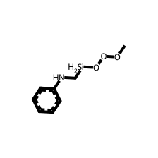 COOO[SiH2]CNc1ccccc1